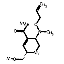 C=CCON(C)[C@H]1CN[C@H](COC)C=C1C(=O)NC